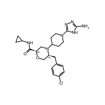 Nc1nnc(N2CCC(N3C[C@H](C(=O)NC4CC4)OC[C@@H]3Cc3ccc(Cl)cc3)CC2)[nH]1